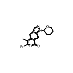 CC(C)c1oc(=O)c2cc3c(cnn3C3CCCCO3)cc2c1I